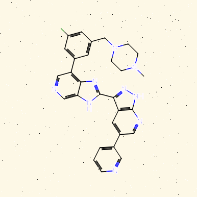 CN1CCN(Cc2cc(F)cc(-c3cncc4[nH]c(-c5n[nH]c6ncc(-c7cccnc7)cc56)nc34)c2)CC1